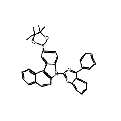 CC1(C)OB(c2ccc3c(c2)c2c4ccccc4ccc2n3-c2nc(-c3ccccc3)c3ccccc3n2)OC1(C)C